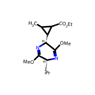 CCOC(=O)C1C(C)C1[C@H]1N=C(OC)[C@@H](C(C)C)N=C1OC